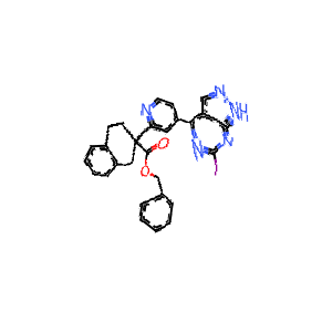 O=C(OCc1ccccc1)C1(c2cc(-c3nc(I)nc4[nH]ncc34)ccn2)CCc2ccccc2C1